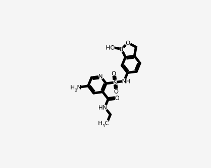 CCNC(=O)c1cc(N)cnc1S(=O)(=O)Nc1ccc2c(c1)B(O)OC2